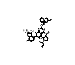 C=CC(=O)N1CCC(N(CC)c2nc(OCC34CCCN3CC(F)C4)nc3c(F)c(-c4ccc(F)c5sc(N)c(C#N)c45)ccc23)C1CC